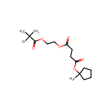 CCC(C)(C)C(=O)OCCOC(=O)CCC(=O)OC1(C)CCCC1